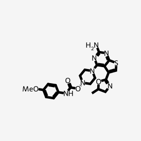 COc1ccc(NC(=O)ON2CCN(c3nc(N)nc4scc(C5=NCC(C)O5)c34)CC2)cc1